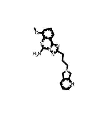 COc1cccc2c1nc(N)n1nc(CCCN3Cc4cccnc4C3)nc21